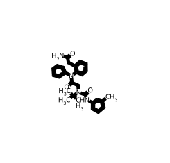 Cc1cccc(NC(=O)N(CC(=O)N(c2ccccc2)c2ccccc2CC(N)=O)C(C)(C)C)c1